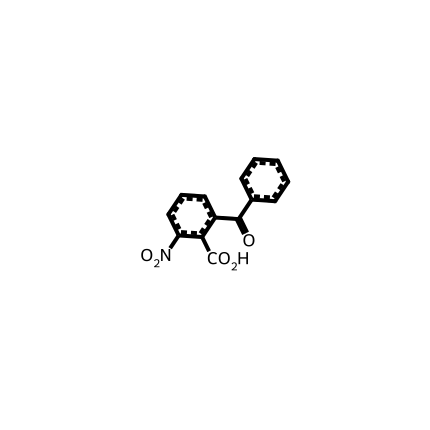 O=C(c1ccccc1)c1cccc([N+](=O)[O-])c1C(=O)O